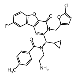 Cc1ccc(C(=O)N(CCN)[C@@H](c2nc3c(oc4ccc(F)cc43)c(=O)n2Cc2ccc(Cl)o2)C2CC2)cc1